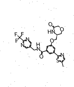 Cc1cnc(-c2cc(OC[C@@H]3COCC(=O)N3)cc(C(=O)NCc3cnc(C(F)(F)F)nc3)c2)s1